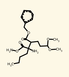 CCCCC(N)(C(=O)ON)C(CCC(OC)OC)C(=O)OCc1ccccc1